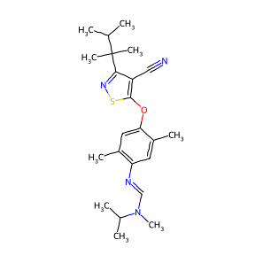 Cc1cc(Oc2snc(C(C)(C)C(C)C)c2C#N)c(C)cc1N=CN(C)C(C)C